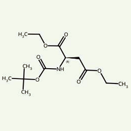 CCOC(=O)C[C@@H](NC(=O)OC(C)(C)C)C(=O)OCC